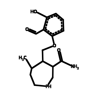 CC1CCPCC(C(N)=O)C1COc1cccc(O)c1C=O